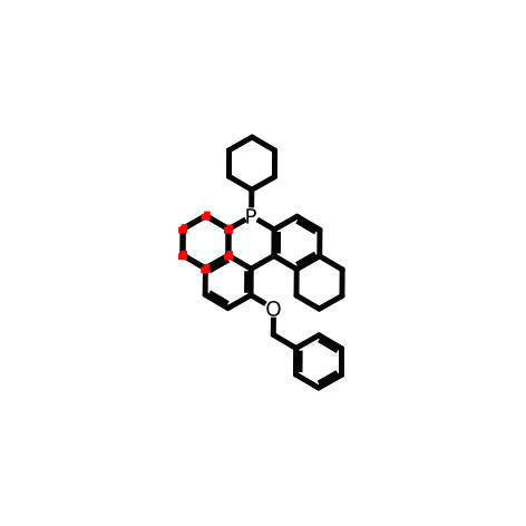 c1ccc(COc2ccc3c(c2-c2c(P(C4CCCCC4)C4CCCCC4)ccc4c2CCCC4)CCCC3)cc1